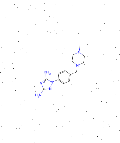 CN1CCN(Cc2ccc(-n3nc(N)nc3N)cc2)CC1